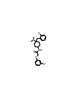 CN(C)C1(Cc2ccccc2F)CCC(NC(=O)COc2cccc(Cl)c2)CC1